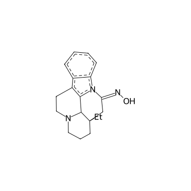 CCC12CCCN3CCc4c(n(c5ccccc45)C(=NO)C1)C32